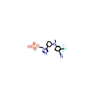 CCN(c1ccc(C#N)c(C(F)(F)F)c1)C1CCC=C(c2cncn2CCOS(=O)(=O)O)C1